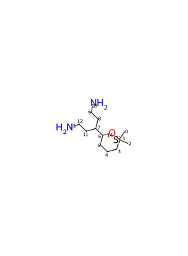 C[Si]1(C)CCCC(C(CCN)CCN)O1